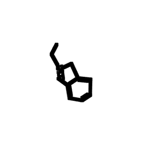 CC[SiH]1Cc2ccccc2C1